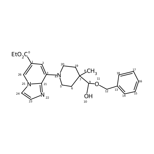 CCOC(=O)c1cc(N2CCC(C)(C(O)OCc3ccccc3)CC2)c2nccn2c1